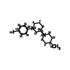 CC1CCN([C@@H]2CCCN(c3ccc(I)cc3)C2)CC1